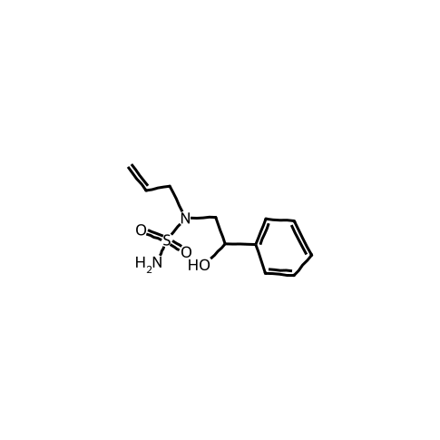 C=CCN(CC(O)c1ccccc1)S(N)(=O)=O